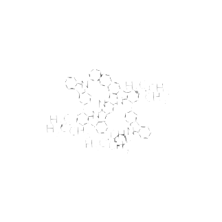 CC(C)(C)c1cc(-c2ccc3c(c2)c2ccccc2n3-c2ccccc2)c2c(c1)c1cc3ccccc3c3c4nc5c(cc4n2c13)c1cc(C(C)(C)C)cc2c3cc(C(C)(C)C)cc(-c4ccc6c(c4)c4ccccc4n6-c4ccccc4)c3n5c12